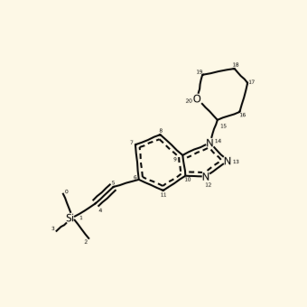 C[Si](C)(C)C#Cc1ccc2c(c1)nnn2C1CCCCO1